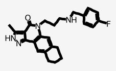 Cc1[nH]nc2c1c(=O)n(CCCNCc1ccc(F)cc1)c1cc3c(cc21)CCCC3